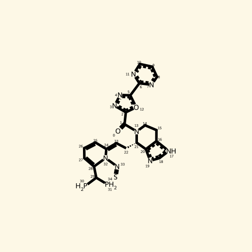 O=C(c1nnc(-c2ncccn2)o1)N1CCc2[nH]cnc2[C@@H]1C/C=C1/C=CC=C(C(P)P)N1N=S